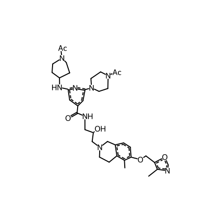 CC(=O)N1CCC(Nc2cc(C(=O)NC[C@H](O)CN3CCc4c(ccc(OCc5ocnc5C)c4C)C3)cc(N3CCN(C(C)=O)CC3)n2)CC1